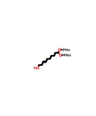 CCCCCCOC(CCCCC/C=C/CCO)OCCCCCC